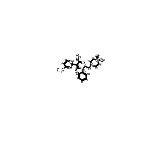 NC(=O)C(=C1Sc2ccccc2N1CCN1CCS(=O)(=O)CC1)c1nccc(C(F)(F)F)n1